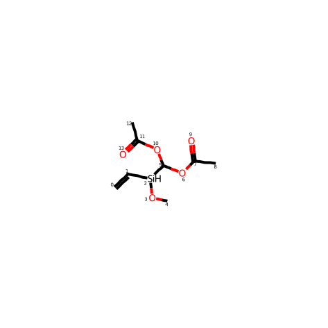 C=C[SiH](OC)C(OC(C)=O)OC(C)=O